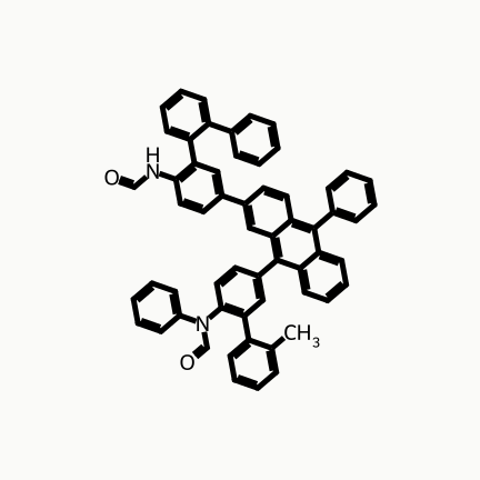 Cc1ccccc1-c1cc(-c2c3ccccc3c(-c3ccccc3)c3ccc(-c4ccc(NC=O)c(-c5ccccc5-c5ccccc5)c4)cc23)ccc1N(C=O)c1ccccc1